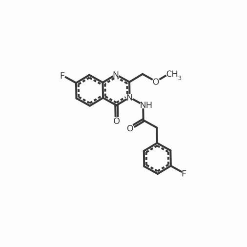 COCc1nc2cc(F)ccc2c(=O)n1NC(=O)Cc1cccc(F)c1